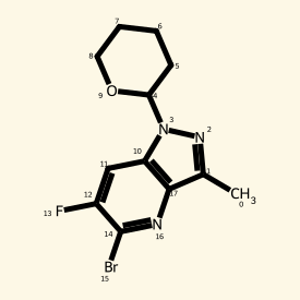 Cc1nn(C2CCCCO2)c2cc(F)c(Br)nc12